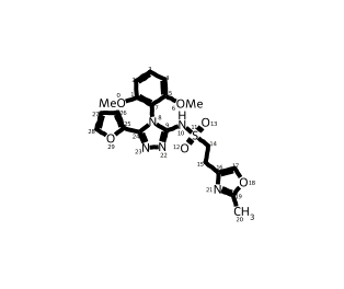 COc1cccc(OC)c1-n1c(NS(=O)(=O)CCc2coc(C)n2)nnc1-c1ccco1